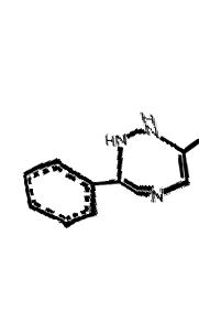 CC1=CN=C(c2ccccc2)NN1